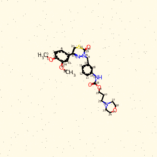 COc1ccc(C2=NN(Cc3cccc(NC(=O)OCCCN4CCOCC4)c3)C(=O)SC2)cc1OC